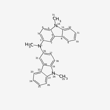 CN(c1ccc2c(c1)c1ccccc1n2C)c1ccc2c(c1)c1ccccc1n2C